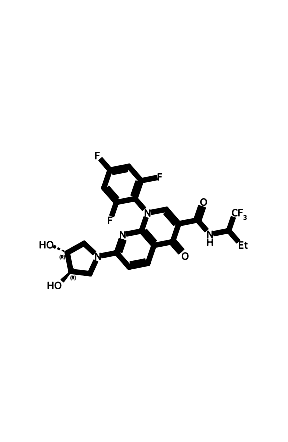 CCC(NC(=O)c1cn(-c2c(F)cc(F)cc2F)c2nc(N3C[C@@H](O)[C@H](O)C3)ccc2c1=O)C(F)(F)F